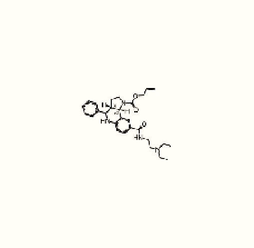 C=CCOC(=O)N1CC[C@H]2C(c3ccccc3)Nc3ccc(C(=O)NCCN(CC)CC)cc3[C@H]21